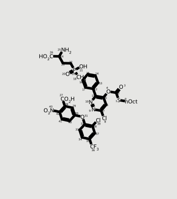 CCCCCCCCSC(=O)Oc1cc(Cl)nnc1-c1ccccc1.CP(=O)(O)CCC(N)C(=O)O.O=C(O)c1cc(Oc2ccc(C(F)(F)F)cc2Cl)ccc1[N+](=O)[O-]